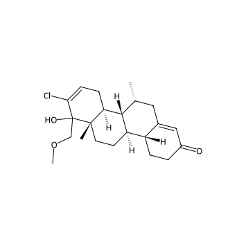 COCC1(O)C(Cl)=CC[C@H]2[C@H]3[C@H](CC[C@@]21C)[C@H]1CCC(=O)C=C1C[C@H]3C